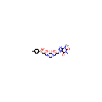 Cc1ccc([S+]([O-])CC(O)CN2CCN(CC(O)Cn3cnc4c3c(=O)n(C)c(=O)n4C(C)C)CC2)cc1